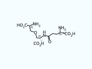 N[C@H](CCC(=O)N[C@@H](COC[C@H](N)C(=O)O)C(=O)O)C(=O)O